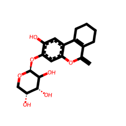 C=C1Oc2cc(O[C@@H]3OC[C@@H](O)[C@@H](O)C3O)c(O)cc2C2=C1CCCC2